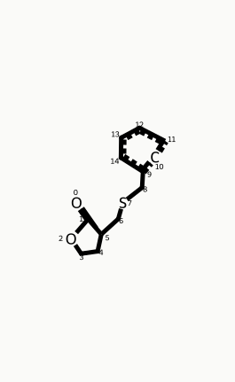 O=C1OCCC1CSCc1ccccc1